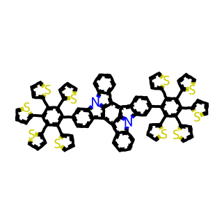 c1csc(-c2c(-c3ccc4c5c6c7ccccc7n7c8cc(-c9c(-c%10cccs%10)c(-c%10cccs%10)c(-c%10cccs%10)c(-c%10cccs%10)c9-c9cccs9)ccc8c(c8c9ccccc9n(c4c3)c85)c67)c(-c3cccs3)c(-c3cccs3)c(-c3cccs3)c2-c2cccs2)c1